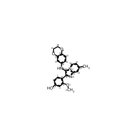 COc1cc(O)ccc1-c1nc2cc(C)ccn2c1Nc1ccc2c(c1)OCCO2